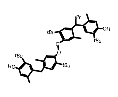 Cc1cc(O)c(C(C)(C)C)cc1Cc1cc(C(C)(C)C)c(OOc2cc(C)c(C(c3cc(C(C)(C)C)c(O)cc3C)C(C)C)cc2C(C)(C)C)cc1C